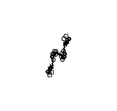 O=C(/C=C/C(=O)ON1C(=O)CCc2ccc(OCCCCN3CCN(c4cccc(Cl)c4Cl)CC3)cc21)ON1C(=O)CCc2ccc(OCCCCN3CCN(c4cccc(Cl)c4Cl)CC3)cc21